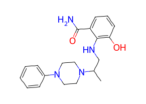 CC(CNc1c(O)cccc1C(N)=O)N1CCN(c2ccccc2)CC1